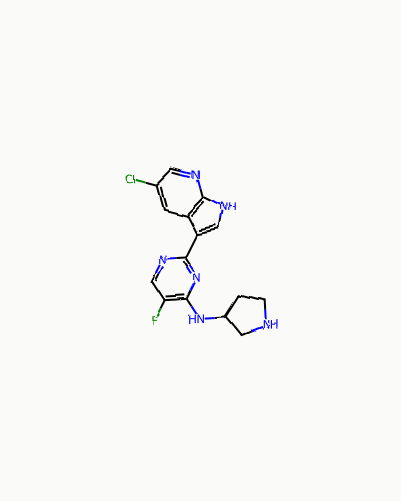 Fc1cnc(-c2c[nH]c3ncc(Cl)cc23)nc1NC1CCNC1